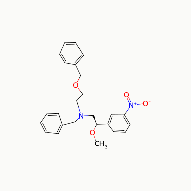 CO[C@@H](CN(CCOCc1ccccc1)Cc1ccccc1)c1cccc([N+](=O)[O-])c1